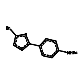 CC(=O)Nc1ccc(-c2ccc(Br)s2)cc1